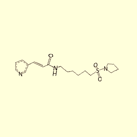 O=C(/C=C/c1cccnc1)NCCCCCCS(=O)(=O)N1CCCC1